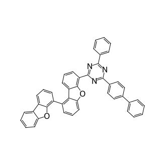 c1ccc(-c2ccc(-c3nc(-c4ccccc4)nc(-c4cccc5c4oc4cccc(-c6cccc7c6oc6ccccc67)c45)n3)cc2)cc1